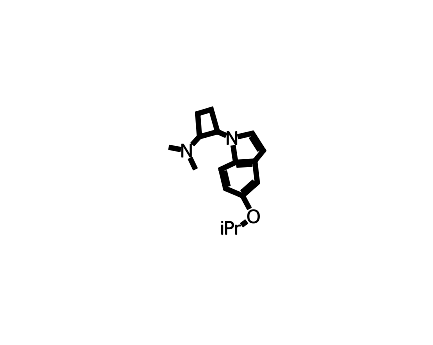 CC(C)Oc1ccc2c(ccn2C2CCC2N(C)C)c1